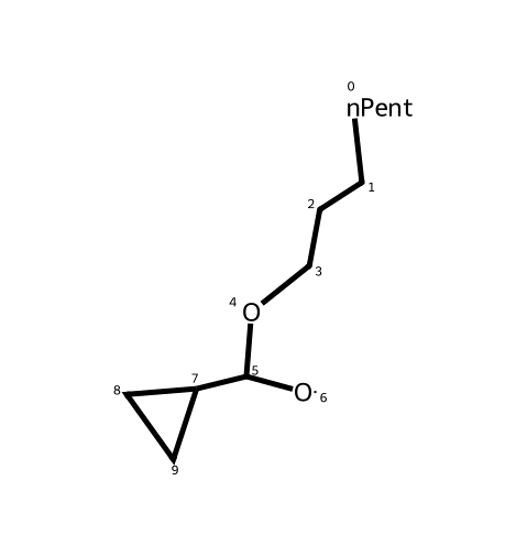 CCCCCCCCOC([O])C1CC1